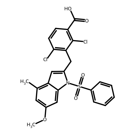 COc1cc(C)c2cc(Cc3c(Cl)ccc(C(=O)O)c3Cl)n(S(=O)(=O)c3ccccc3)c2c1